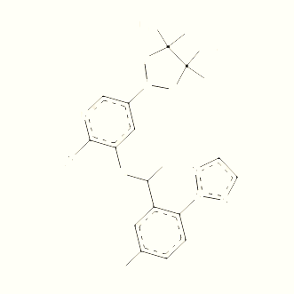 CC(Oc1cc(B2OC(C)(C)C(C)(C)O2)cnc1N)c1cc(F)ccc1-n1nccn1